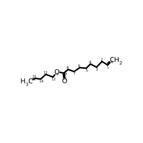 C=CCCCCCCCC(=O)OCCCCC